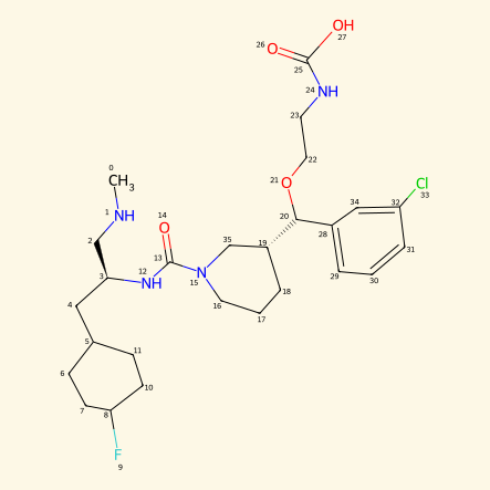 CNC[C@H](CC1CCC(F)CC1)NC(=O)N1CCC[C@@H](C(OCCNC(=O)O)c2cccc(Cl)c2)C1